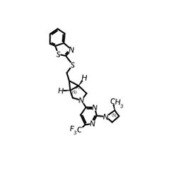 C[C@H]1CCN1c1nc(N2C[C@@H]3C(CSc4nc5ccccc5s4)[C@@H]3C2)cc(C(F)(F)F)n1